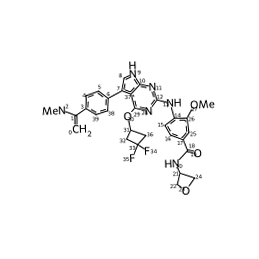 C=C(NC)c1ccc(-c2c[nH]c3nc(Nc4ccc(C(=O)NC5COC5)cc4OC)nc(OC4CC(F)(F)C4)c23)cc1